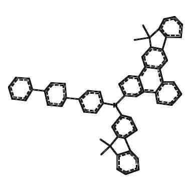 CC1(C)c2ccccc2-c2ccc(N(c3ccc(-c4ccc(-c5ccccc5)cc4)cc3)c3ccc4c(c3)c3ccccc3c3cc5c(cc43)C(C)(C)c3ccccc3-5)cc21